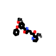 COc1ccc(-c2nc(CCC(=O)c3ncccc3C)co2)cc1OC1C=CCCC1